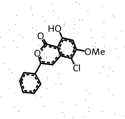 COc1cc(O)c2c(=O)oc(-c3ccccc3)cc2c1Cl